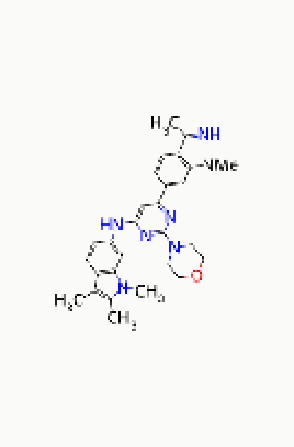 CNc1cc(-c2cc(Nc3ccc4c(C)c(C)n(C)c4c3)nc(N3CCOCC3)n2)ccc1C(C)=N